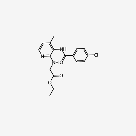 CCOC(=O)CNc1nccc(C)c1NC(=O)c1ccc(Cl)cc1